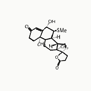 CS[C@H]1[C@@H]2C(CC[C@@]3(C)[C@H]2CC[C@@]32CCC(=O)O2)[C@@]2(C)CCC(=O)C=C2[C@@H]1O